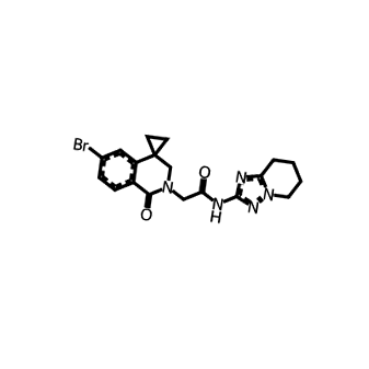 O=C(CN1CC2(CC2)c2cc(Br)ccc2C1=O)Nc1nc2n(n1)CCCC2